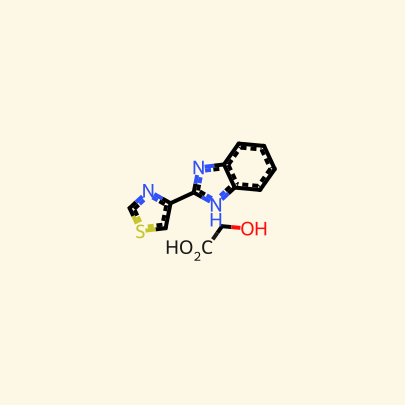 O=C(O)CO.c1ccc2[nH]c(-c3cscn3)nc2c1